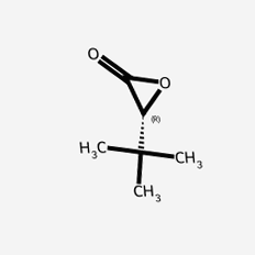 CC(C)(C)[C@H]1OC1=O